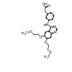 COCCOc1cc2ncnc(Nc3cccc(CC(=O)O)c3)c2cc1OCCOC